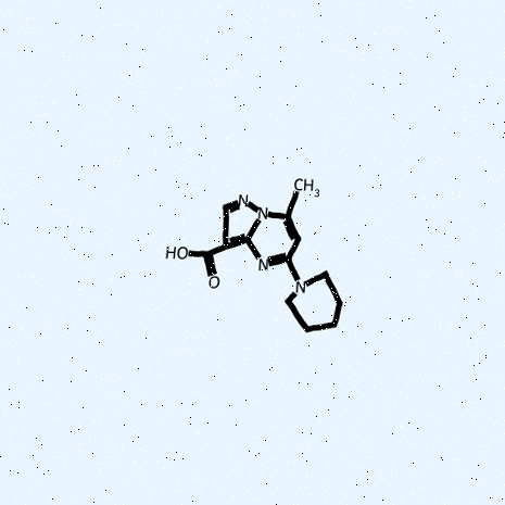 Cc1cc(N2CCCCC2)nc2c(C(=O)O)cnn12